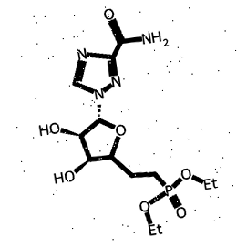 CCOP(=O)(CCC1O[C@@H](n2cnc(C(N)=O)n2)[C@H](O)[C@@H]1O)OCC